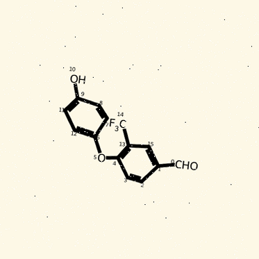 O=Cc1ccc(Oc2ccc(O)cc2)c(C(F)(F)F)c1